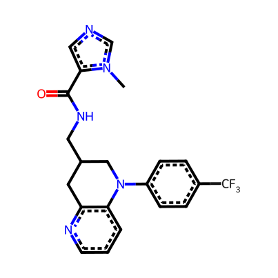 Cn1cncc1C(=O)NCC1Cc2ncccc2N(c2ccc(C(F)(F)F)cc2)C1